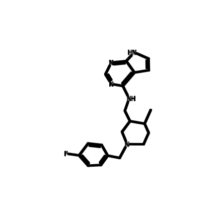 CC1CCN(Cc2ccc(F)cc2)CC1CNc1ncnc2[nH]ccc12